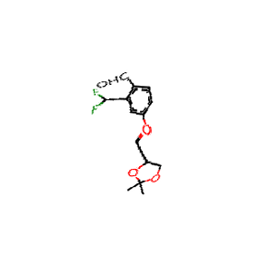 CC1(C)OCC(COc2ccc(C=O)c(C(F)F)c2)O1